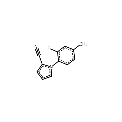 Cc1ccc(-n2cccc2C#N)c(F)c1